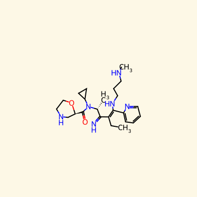 CC/C(C(=N)[C@@H](C)N(C(=O)[C@H]1CNCCO1)C1CC1)=C(/NCCCNC)c1ccccn1